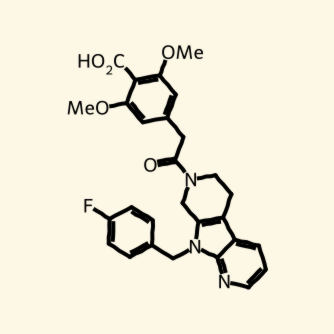 COc1cc(CC(=O)N2CCc3c(n(Cc4ccc(F)cc4)c4ncccc34)C2)cc(OC)c1C(=O)O